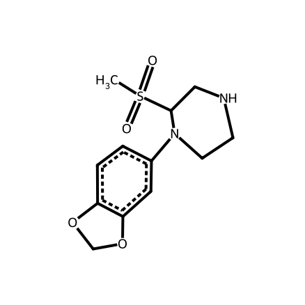 CS(=O)(=O)C1CNCCN1c1ccc2c(c1)OCO2